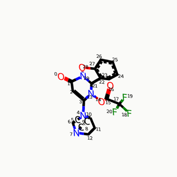 O=C1C=C(N2CCN3CCC2CC3)N(OC(=O)C(F)(F)F)C2c3ccccc3ON12